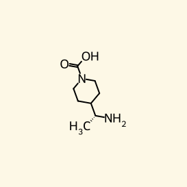 C[C@@H](N)C1CCN(C(=O)O)CC1